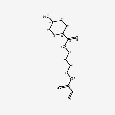 C=CC(=O)OCCCCOC(=O)C1CCC(O)CC1